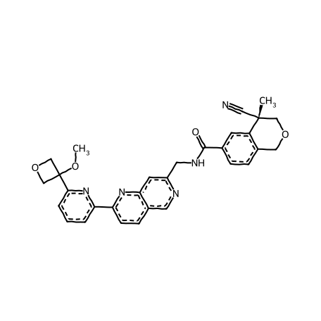 COC1(c2cccc(-c3ccc4cnc(CNC(=O)c5ccc6c(c5)[C@](C)(C#N)COC6)cc4n3)n2)COC1